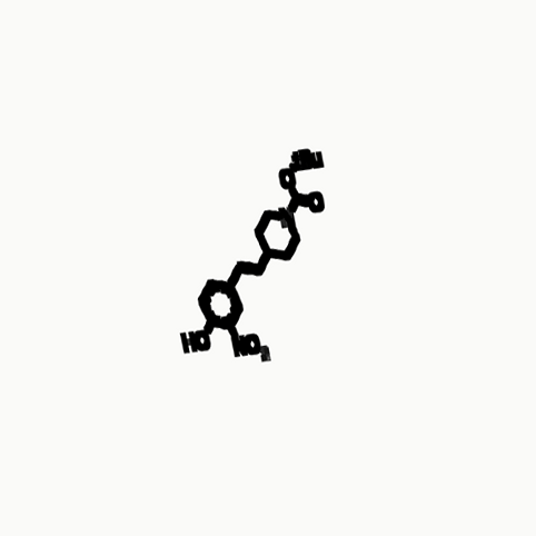 CC(C)(C)OC(=O)N1CCC(C=Cc2ccc(O)c([N+](=O)[O-])c2)CC1